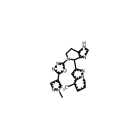 Cn1cc(-c2nnc(N3CCc4[nH]cnc4C3c3cc4c(C(F)(F)F)cccn4n3)o2)cn1